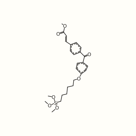 COC(=O)C=Cc1ccc(C(=O)c2ccc(OCCCCCC[Si](OC)(OC)OC)cc2)cc1